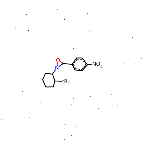 CC(C)(C)C1CCCCC1N1OC1c1ccc([N+](=O)[O-])cc1